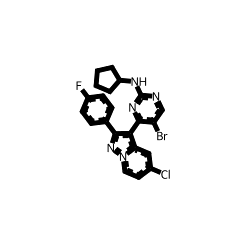 Fc1ccc(-c2nn3ccc(Cl)cc3c2-c2nc(NC3CCCC3)ncc2Br)cc1